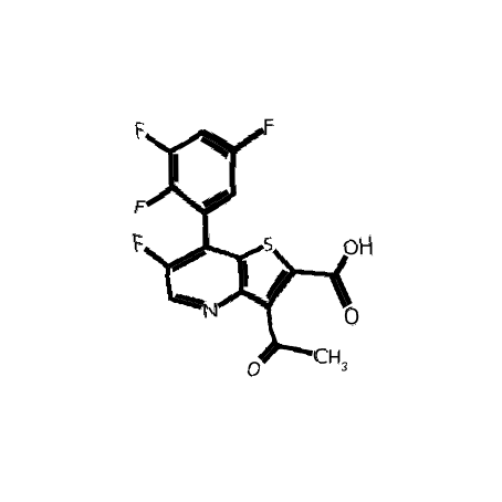 CC(=O)c1c(C(=O)O)sc2c(-c3cc(F)cc(F)c3F)c(F)cnc12